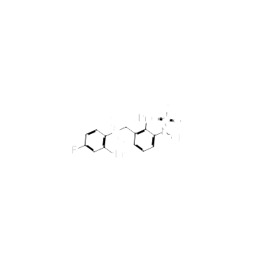 CC(C)c1cc(F)ccc1S(=O)(=O)Cc1cccc(N(C)S(C)(=O)=O)c1C(C)C